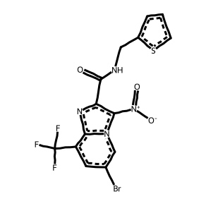 O=C(NCc1cccs1)c1nc2c(C(F)(F)F)cc(Br)cn2c1[N+](=O)[O-]